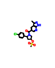 Cc1n[nH]c2ncc(C(=O)N3CC(OS(C)(=O)=O)CC3c3ccc(Cl)cc3)cc12